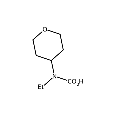 CCN(C(=O)O)C1CCOCC1